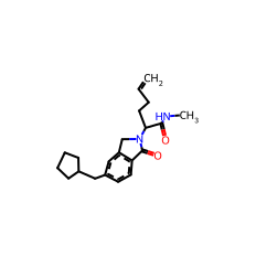 C=CCCC(C(=O)NC)N1Cc2cc(CC3CCCC3)ccc2C1=O